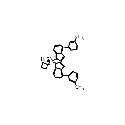 Cc1cccc(-c2cccc3c2C=C[CH]3[Hf]([CH3])([CH3])(=[C]2CCC2)[CH]2C=Cc3c(-c4cccc(C)c4)cccc32)c1